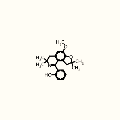 COc1cc2c(c3c1OC(C)(C)C3)C(c1ccccc1O)=NC(C)(C)C2